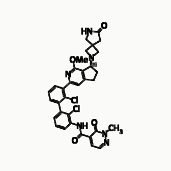 COc1nc(-c2cccc(-c3cccc(NC(=O)c4ccnn(C)c4=O)c3Cl)c2Cl)cc2c1[C@@H](N1CC3(CNC(=O)C3)C1)CC2